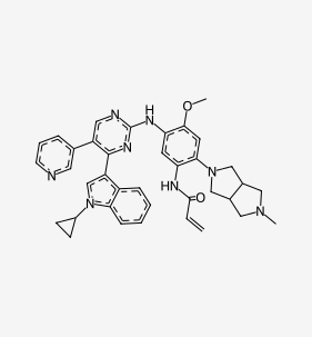 C=CC(=O)Nc1cc(Nc2ncc(-c3cccnc3)c(-c3cn(C4CC4)c4ccccc34)n2)c(OC)cc1N1CC2CN(C)CC2C1